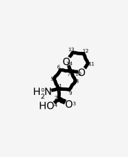 NC1(C(=O)O)CCC2(CC1)OCCCO2